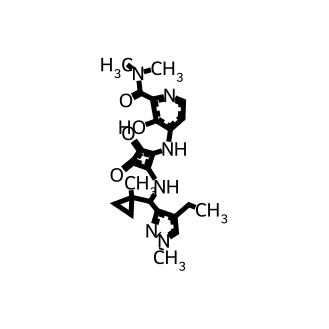 CCc1cn(C)nc1C(Nc1c(Nc2ccnc(C(=O)N(C)C)c2O)c(=O)c1=O)C1(C)CC1